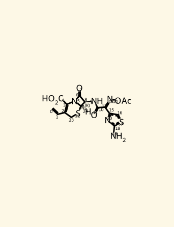 C=CC1=C(C(=O)O)N2C(=O)[C@@H](NC(=O)C(=NOC(C)=O)c3csc(N)n3)[C@H]2SC1